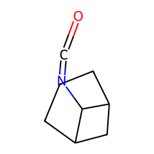 O=C=NC1C2CCCC1C2